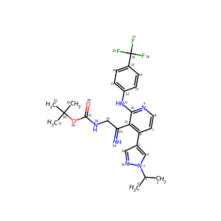 CC(C)n1cc(-c2ccnc(Nc3ccc(C(F)(F)F)cc3)c2C(=N)CNC(=O)OC(C)(C)C)cn1